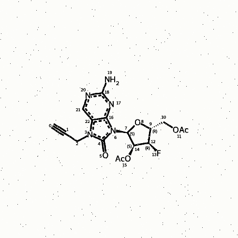 C#CCn1c(=O)n([C@H]2O[C@H](COC(C)=O)[C@@H](F)[C@H]2OC(C)=O)c2nc(N)ncc21